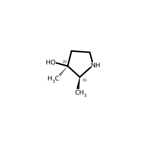 C[C@@H]1NCC[C@]1(C)O